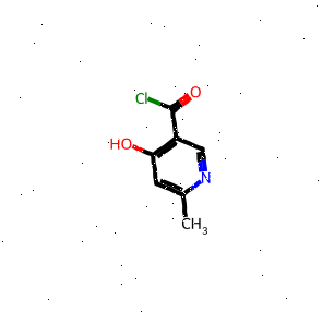 Cc1cc(O)c(C(=O)Cl)cn1